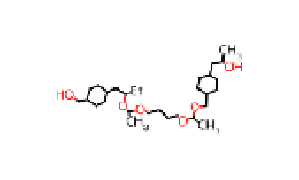 CCC(CC1CCC(CO)CC1)OC(C)OCCCCOC(C)OCC1CCC(CC(C)O)CC1